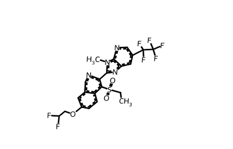 CCS(=O)(=O)c1c(-c2nc3cc(C(F)(F)C(F)(F)F)cnc3n2C)ncc2cc(OCC(F)F)ccc12